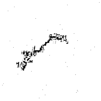 C[C@H](O)CC(=O)N[C@H](C)C(=O)NCCCCCn1cc(CCC(=O)N[C@H](Cc2cnc[nH]2)C(=O)NCC(=O)N[C@H](Cc2cnc[nH]2)C(N)=O)nn1